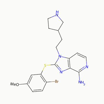 COc1ccc(Br)c(Sc2nc3c(N)nccc3n2CCC2CCNC2)c1